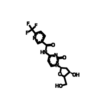 O=C(Nc1ccn([C@H]2C[C@H](O)C(CO)O2)c(=O)n1)c1ccc(C(F)(F)F)nc1